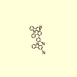 N#Cc1ccc(-c2ccc(-n3c4ccccc4c4cc(C#N)ccc43)c(C#N)c2)c(-c2ccccc2-n2c3ccccc3c3ccccc32)c1